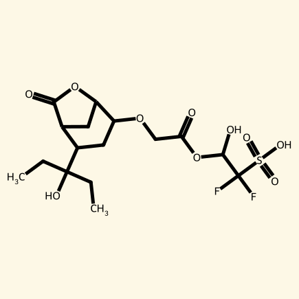 CCC(O)(CC)C1CC(OCC(=O)OC(O)C(F)(F)S(=O)(=O)O)C2CC1C(=O)O2